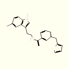 C=C(NCCc1c[nH]c2ccc(Cl)cc12)C1=CC(Cc2ccco2)CC=C1